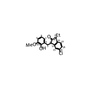 CCN1C(=O)[C](Cc2cccc(OC)c2O)c2cc(Cl)ccc21